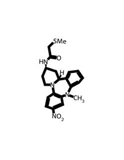 CSCC(=O)N[C@@H]1CCN2c3ccc([N+](=O)[O-])cc3N(C)c3ccccc3[C@H]2C1